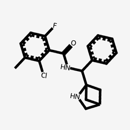 Cc1ccc(F)c(C(=O)NC(c2ccccc2)C23CC(CN2)C3)c1Cl